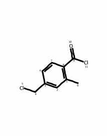 Cc1cc(CCl)ccc1C(=O)Cl